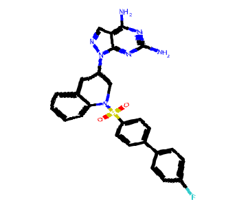 Nc1nc(N)c2cnn(C3Cc4ccccc4N(S(=O)(=O)c4ccc(-c5ccc(F)cc5)cc4)C3)c2n1